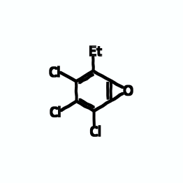 CCc1c(Cl)c(Cl)c(Cl)c2c1O2